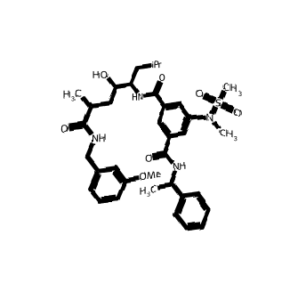 COc1cccc(CNC(=O)C(C)CC(O)C(CC(C)C)NC(=O)c2cc(C(=O)NC(C)c3ccccc3)cc(N(C)S(C)(=O)=O)c2)c1